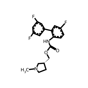 CN1CC[C@@H](COC(=O)Nc2ccc(F)cc2-c2cc(F)cc(F)c2)C1